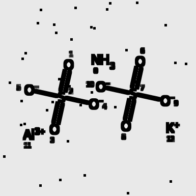 N.O=S(=O)([O-])[O-].O=S(=O)([O-])[O-].[Al+3].[K+]